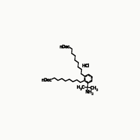 CCCCCCCCCCCCCCCCCCc1cccc(C(C)(C)N)c1CCCCCCCCCCCCCCCCCC.Cl